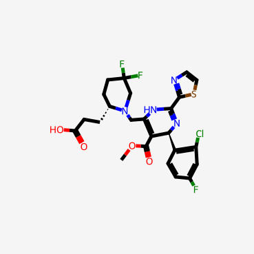 COC(=O)C1=C(CN2CC(F)(F)CC[C@H]2CCC(=O)O)NC(c2nccs2)=N[C@H]1c1ccc(F)cc1Cl